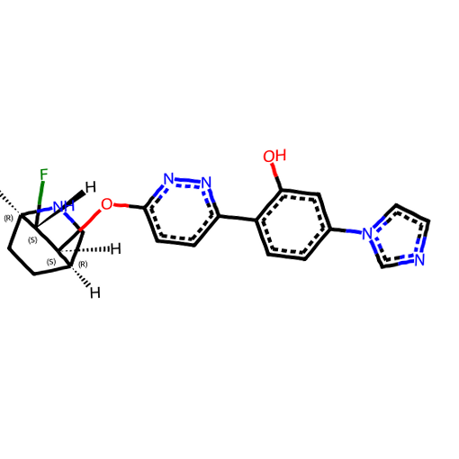 C[C@]12CC[C@H](CN1)[C@H](Oc1ccc(-c3ccc(-n4ccnc4)cc3O)nn1)[C@H]2F